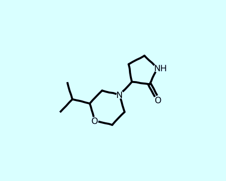 CC(C)C1CN(C2CCNC2=O)CCO1